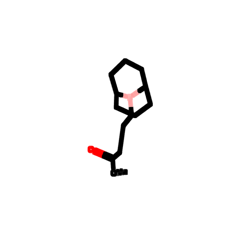 COC(=O)CCCB1C2CCCC1CCC2